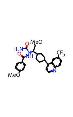 COCC(C1CCC(c2ccnc3ccc(C(F)(F)F)cc23)CC1)N(NC(=O)c1ccc(OC)cc1)C(N)=O